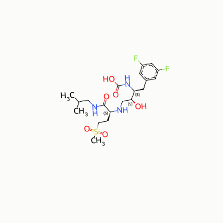 CC(C)CNC(=O)[C@H](CCS(C)(=O)=O)NC[C@H](O)[C@H](Cc1cc(F)cc(F)c1)NC(=O)O